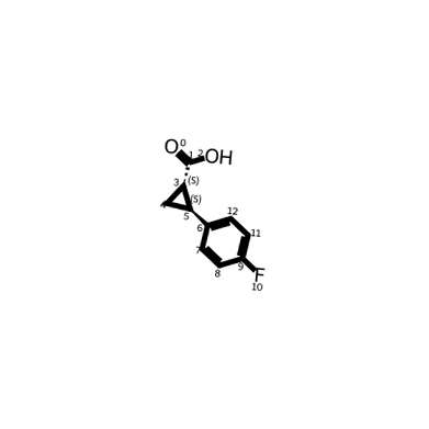 O=C(O)[C@H]1C[C@@H]1c1ccc(F)cc1